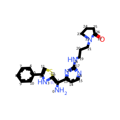 N/C(=C1\NC(c2ccccc2)=CS1)c1ccnc(NCCCN2CCCC2=O)n1